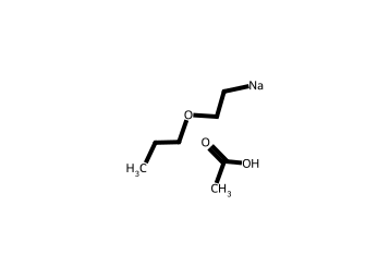 CC(=O)O.CCCOC[CH2][Na]